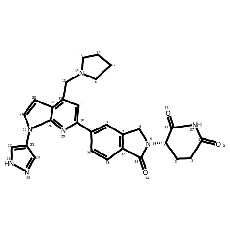 O=C1CC[C@H](N2Cc3cc(-c4cc(CN5CCCC5)c5ccn(-c6cn[nH]c6)c5n4)ccc3C2=O)C(=O)N1